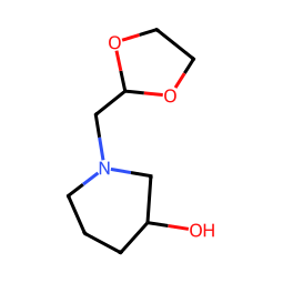 OC1CCCN(CC2OCCO2)C1